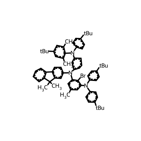 Cc1cc(N(c2ccc(C(C)(C)C)cc2)c2ccc(C(C)(C)C)cc2)c(Br)c(N(c2cccc(N(c3ccc(C(C)(C)C)cc3)c3c(C)cc(C(C)(C)C)cc3C)c2)c2ccc3c(c2)C(C)(C)c2ccccc2-3)c1